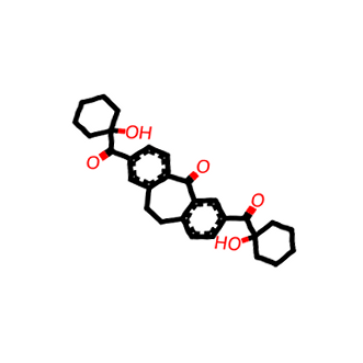 O=C1c2ccc(C(=O)C3(O)CCCCC3)cc2CCc2ccc(C(=O)C3(O)CCCCC3)cc21